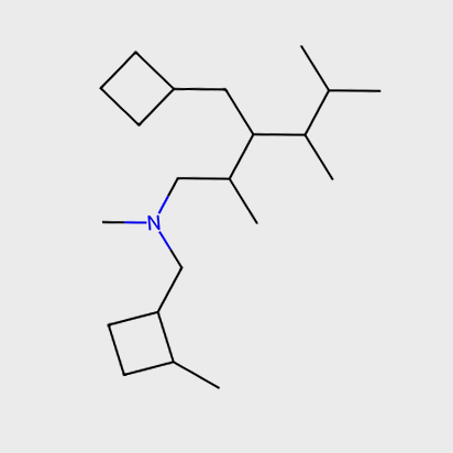 CC(C)C(C)C(CC1CCC1)C(C)CN(C)CC1CCC1C